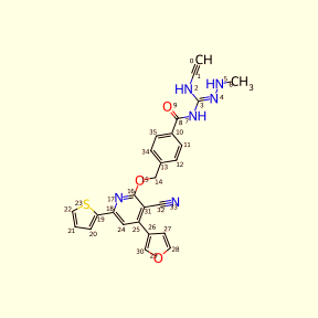 C#CN/C(=N\NC)NC(=O)c1ccc(COc2nc(-c3cccs3)cc(-c3ccoc3)c2C#N)cc1